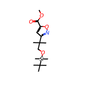 COC(=O)c1cc(C(C)(C)CO[Si](C)(C)C(C)(C)C)no1